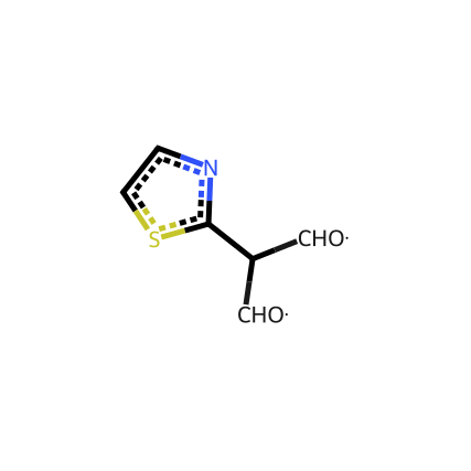 O=[C]C([C]=O)c1nccs1